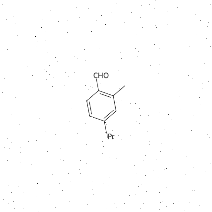 Cc1cc(C(C)C)ccc1C=O